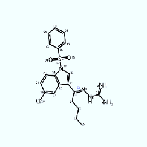 CCCC/C(=N\NC(=N)N)c1cn(S(=O)(=O)c2ccccc2)c2ccc(Cl)cc12